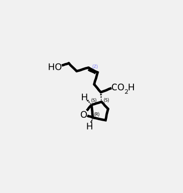 O=C(O)C(C/C=C\CCO)[C@@H]1CC[C@H]2O[C@H]21